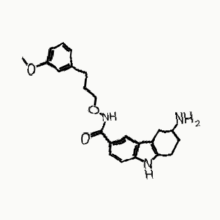 COc1cccc(CCCONC(=O)c2ccc3[nH]c4c(c3c2)CC(N)CC4)c1